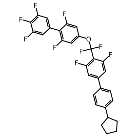 Fc1cc(-c2c(F)cc(OC(F)(F)c3c(F)cc(-c4ccc(C5CCCC5)cc4)cc3F)cc2F)cc(F)c1F